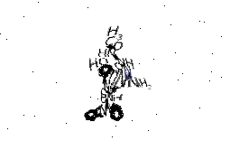 CCC(=O)NCCNC(=O)/N=C(/N)NCCC[C@@H](NC(=O)[C@H](c1ccccc1)N1Cc2ccccc2C1)C(=O)NCc1ccc(O)cc1